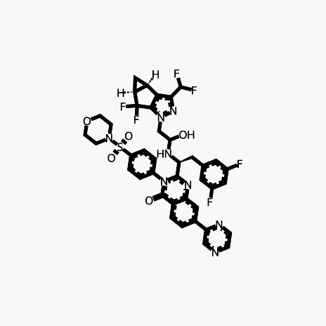 O=c1c2ccc(-c3cnccn3)cc2nc([C@H](Cc2cc(F)cc(F)c2)NC(O)Cn2nc(C(F)F)c3c2C(F)(F)[C@H]2C[C@@H]32)n1-c1ccc(S(=O)(=O)N2CCOCC2)cc1